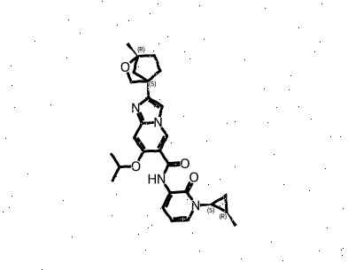 CC(C)Oc1cc2nc([C@]34CC[C@](C)(C3)OC4)cn2cc1C(=O)Nc1cccn([C@H]2C[C@H]2C)c1=O